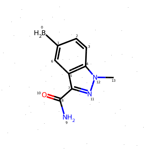 Bc1ccc2c(c1)c(C(N)=O)nn2C